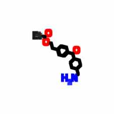 CCC(=O)OCCc1ccc(C(=O)C2CCC(CN)CC2)cc1